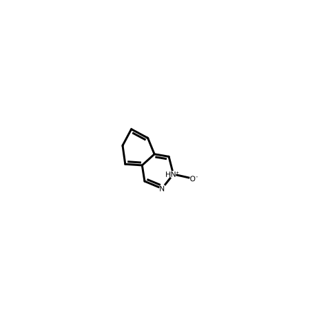 [O-][NH+]1C=C2C=CCC=C2C=N1